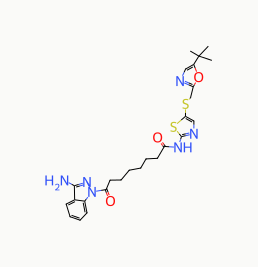 CC(C)(C)c1cnc(CSc2cnc(NC(=O)CCCCCCC(=O)n3nc(N)c4ccccc43)s2)o1